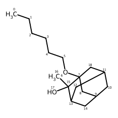 CCCCCCOC12CC3CC(CC(C3)C1(C)O)C2